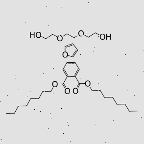 CCCCCCCCOC(=O)c1ccccc1C(=O)OCCCCCCCC.OCCOCCOCCO.c1ccoc1